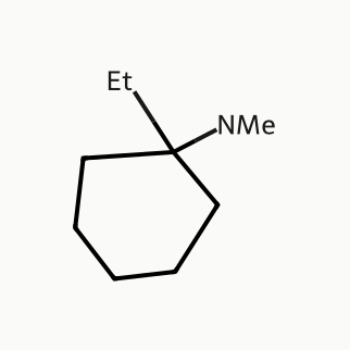 CCC1(NC)CCCCC1